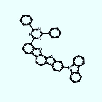 c1ccc(-c2nc(-c3ccccc3)nc(-c3cccc4c3oc3c4ccc4c5ccc(-n6c7ccccc7c7ccccc76)cc5sc43)n2)cc1